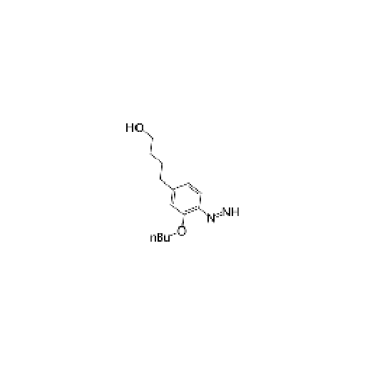 CCCCOc1cc(CCCCO)ccc1N=N